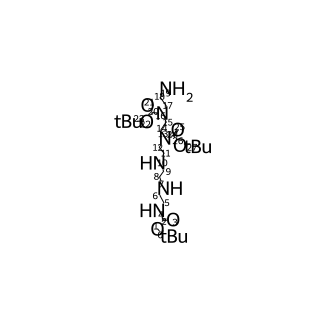 CC(C)(C)OC(=O)NCCNCCNCCN(CCN(CCN)C(=O)OC(C)(C)C)C(=O)OC(C)(C)C